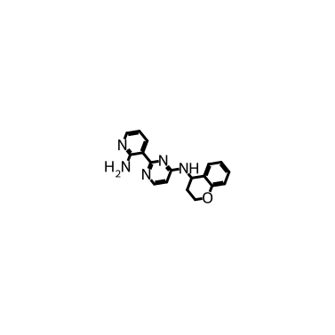 Nc1ncccc1-c1nccc(NC2CCOc3ccccc32)n1